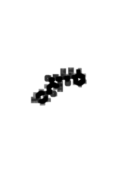 Cc1ccccc1NC(=O)Nc1nc(=O)c(CC(=O)N2CCNCC2)c[nH]1